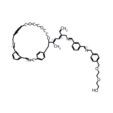 C=C/C(=C\C=C(/C)C1Cc2ccc(cc2)C/N=C/c2cccc(c2)/C=N/Cc2ccc(cc2)COCCOCCO1)C/N=C/c1cccc(/C=N/Cc2ccc(COCCOCCO)cc2)c1